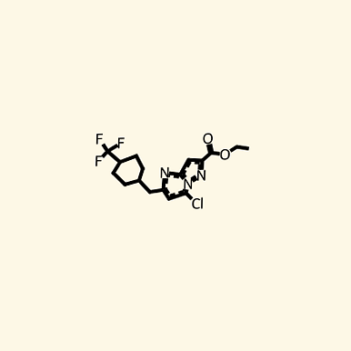 CCOC(=O)c1cc2nc(CC3CCC(C(F)(F)F)CC3)cc(Cl)n2n1